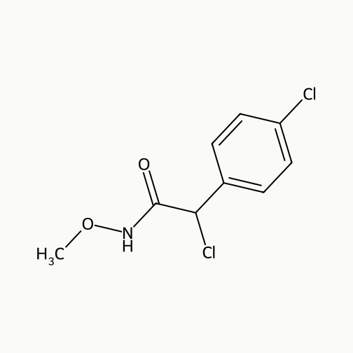 CONC(=O)C(Cl)c1ccc(Cl)cc1